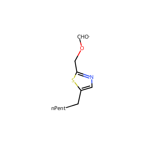 CCCCCCc1cnc(CO[C]=O)s1